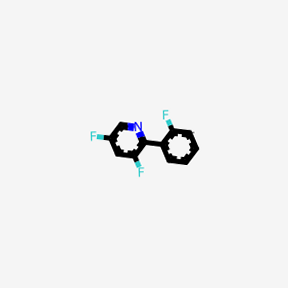 Fc1cnc(-c2ccc[c]c2F)c(F)c1